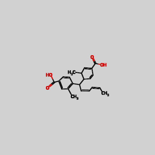 C/C=C\C=C/C(c1ccc(C(=O)O)cc1C)C1C=CC(C(=O)O)=CC1C